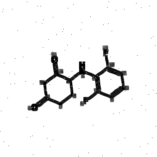 O=C1CCC(Nc2c(F)cccc2F)C(=O)C1